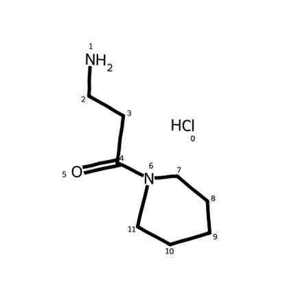 Cl.NCCC(=O)N1CCCCC1